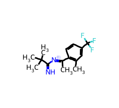 C/C(=N\C(=N)C(C)(C)C)c1ccc(C(F)(F)F)cc1C